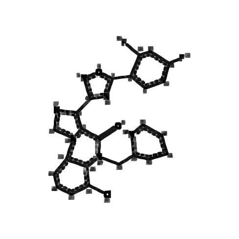 O=c1c2c(-c3noc(-c4ccc(F)cc4F)n3)ncn2c2cccc(Cl)c2n1Cc1ccccn1